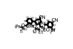 CCN(C(=O)OC(C)(C)C)C(c1cc(C#N)cc(-c2cccc(CO[Si](C)(C)C(C)C)c2)c1)N(C(=O)O)C(c1cc(Br)cc(C#N)c1)C(C)(C)C